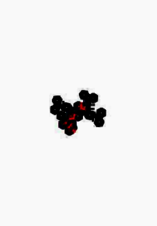 FC(F)(F)c1cccc(-n2c3ccc(-n4c5ccccc5c5ccccc54)cc3c3cc(-n4c5ccccc5c5ccccc54)ccc32)c1-c1cc(-c2nc(-c3ccccc3)nc(-c3ccccc3)n2)ccc1-n1c2ccc(-n3c4ccccc4c4ccccc43)cc2c2cc(-n3c4ccccc4c4ccccc43)ccc21